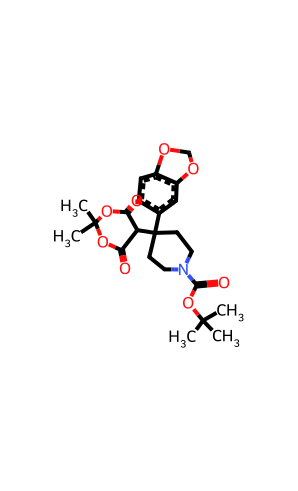 CC(C)(C)OC(=O)N1CCC(c2ccc3c(c2)OCO3)(C2C(=O)OC(C)(C)OC2=O)CC1